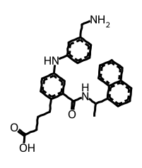 CC(NC(=O)c1cc(Nc2cccc(CN)c2)ccc1CCCC(=O)O)c1cccc2ccccc12